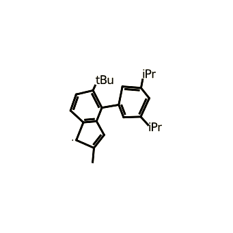 CC1=Cc2c(ccc(C(C)(C)C)c2-c2cc(C(C)C)cc(C(C)C)c2)[CH]1